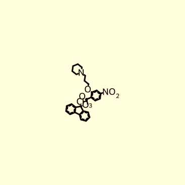 CC1(OC(=O)c2ccc([N+](=O)[O-])cc2OCCCN2CCCCC2)c2ccccc2-c2ccccc21